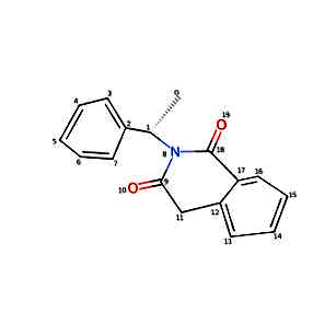 C[C@@H](c1ccccc1)N1C(=O)Cc2ccccc2C1=O